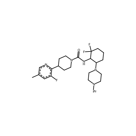 Cc1cnc(C2CCN(C(=O)NC3C(N4CCN(C(C)C)CC4)CCCC3(F)F)CC2)c(F)c1